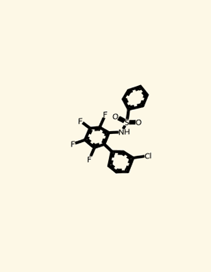 O=S(=O)(Nc1c(F)c(F)c(F)c(F)c1-c1cccc(Cl)c1)c1ccccc1